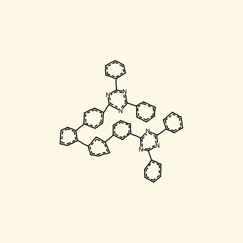 c1ccc(-c2nc(-c3ccccc3)nc(-c3ccc(-c4ccccc4-c4cccc(-c5cccc(-c6nc(-c7ccccc7)nc(-c7ccccc7)n6)c5)c4)cc3)n2)cc1